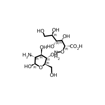 NO[C@@H](C(=O)O)[C@@H](O)[C@H](O)[C@H](O)CO.N[C@@H]1[C@@H](O)[C@H](O)[C@@H](CO)O[C@H]1O